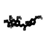 CSc1ccc2cc(C(=O)/C=C/c3cc(C)c(OC(C)(C)C(=O)O)c(C)c3)[nH]c2c1